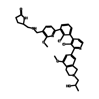 COc1cc(-c2nccc(-c3cccc(-c4ccc(CNCC5CCC(=O)N5)c(OC)n4)c3Cl)c2Cl)cc2c1CCN(CC(C)O)C2